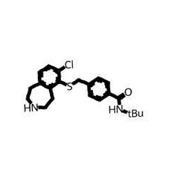 CC(C)(C)NC(=O)c1ccc(CSc2c(Cl)ccc3c2CCNCC3)cc1